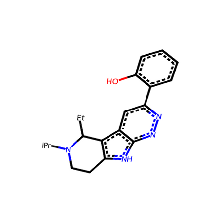 CCC1c2c([nH]c3nnc(-c4ccccc4O)cc23)CCN1C(C)C